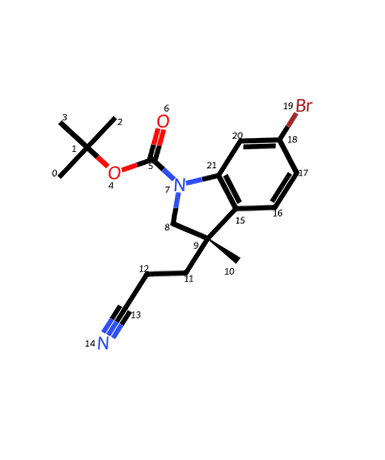 CC(C)(C)OC(=O)N1C[C@@](C)(CCC#N)c2ccc(Br)cc21